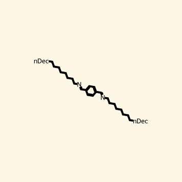 CCCCCCCCCCCCCCCCCC/N=C/c1ccc(/C=N/CCCCCCCCCCCCCCCCCC)cc1